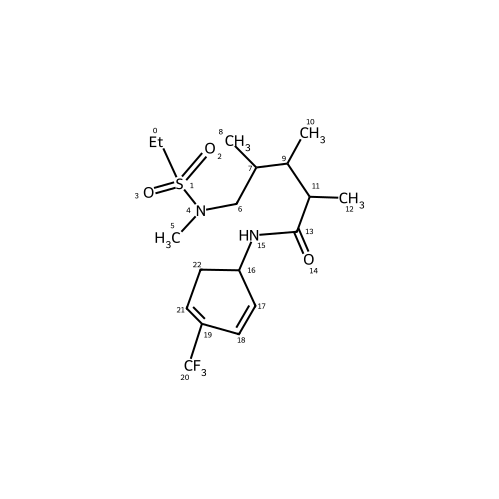 CCS(=O)(=O)N(C)CC(C)C(C)C(C)C(=O)NC1C=CC(C(F)(F)F)=CC1